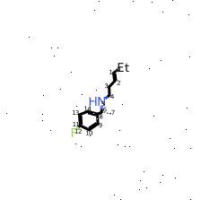 CC/C=C/CCN[C@H](C)c1ccc(F)cc1